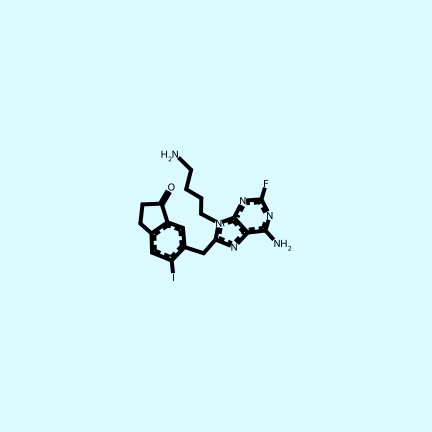 NCCCCn1c(Cc2cc3c(cc2I)CCC3=O)nc2c(N)nc(F)nc21